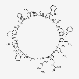 CCCC[C@H]1C(=O)N(C)[C@@H](CCCC)C(=O)N[C@@H](CCCNC(=N)N)C(=O)N[C@H](C(=O)NCC(N)=O)CSCC(=O)N[C@@H](Cc2ccccc2)C(=O)N(C)[C@@H](C)C(=O)N[C@@H](CC(N)=O)C(=O)N2C(CC3CCCCC32)C(=O)N[C@@H](Cc2cnc[nH]2)C(=O)N[C@@H](CC(C)C)C(=O)N(C)CC(=O)N[C@@H](Cc2c[nH]c3ccccc23)C(=O)N[C@@H](CO)C(=O)N[C@@H](Cc2c[nH]c3ccccc23)C(=O)N1C